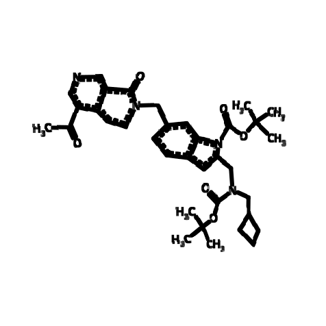 CC(=O)c1cncc2c(=O)n(Cc3ccc4cc(CN(CC5CCC5)C(=O)OC(C)(C)C)n(C(=O)OC(C)(C)C)c4c3)ccc12